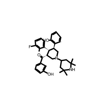 Cc1c(F)cccc1[C@H]1[C@@H](C(=O)c2cccc(O)c2)CN(C2CC(C)(C)NC(C)(C)C2)C[C@@H]1c1[c]cccc1O